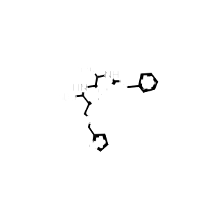 CCCCC(NC(=O)C(CCCC)NC(=O)OCc1ccccc1)C(=O)CSCc1ccco1